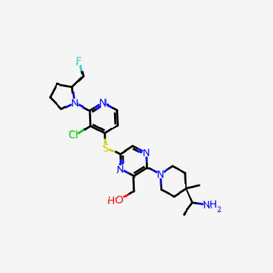 CC(N)C1(C)CCN(c2ncc(Sc3ccnc(N4CCCC4CF)c3Cl)nc2CO)CC1